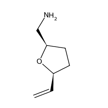 C=C[C@@H]1CC[C@H](CN)O1